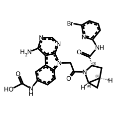 Nc1ncnc2c1c1cc(NC(=O)O)ccc1n2CC(=O)N1[C@@H]2C[C@@H]2C[C@H]1C(=O)Nc1cccc(Br)n1